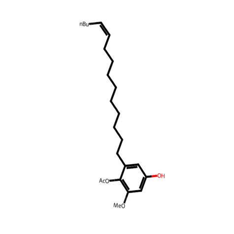 CCCC/C=C\CCCCCCCCCc1cc(O)cc(OC)c1OC(C)=O